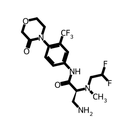 CN(CC(F)F)[C@@H](CN)C(=O)Nc1ccc(N2CCOCC2=O)c(C(F)(F)F)c1